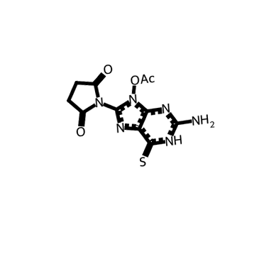 CC(=O)On1c(N2C(=O)CCC2=O)nc2c(=S)[nH]c(N)nc21